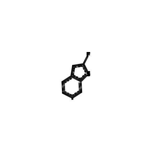 Fc1cc2cc[c]cc2s1